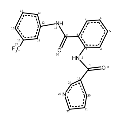 O=C(Nc1ccccc1C(=O)Nc1cccc(C(F)(F)F)c1)c1cccnc1